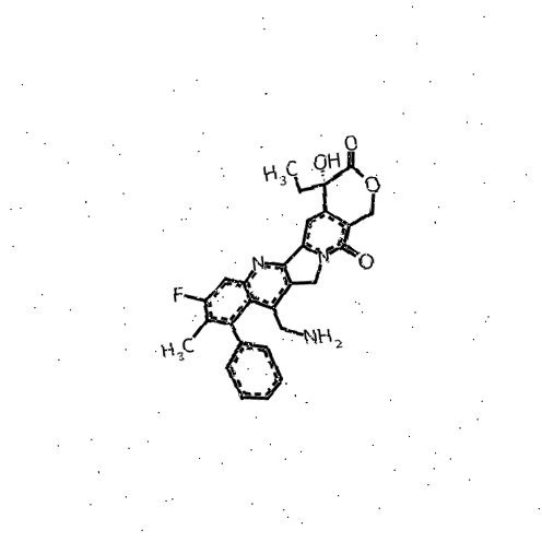 CC[C@@]1(O)C(=O)OCc2c1cc1n(c2=O)Cc2c-1nc1cc(F)c(C)c(-c3ccccc3)c1c2CN